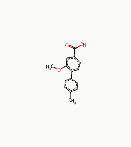 COc1cc(C(=O)O)ccc1-c1ccc(C)cc1